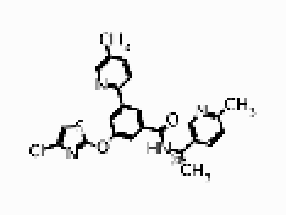 Cc1ccc(-c2cc(Oc3nc(Cl)cs3)cc(C(=O)N[C@H](C)c3ccc(C)nc3)c2)nc1